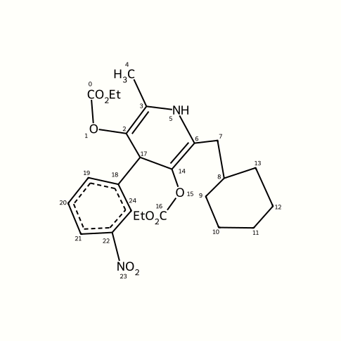 CCOC(=O)OC1=C(C)NC(CC2CCCCC2)=C(OC(=O)OCC)C1c1cccc([N+](=O)[O-])c1